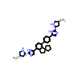 C[C@@H]1CN[C@H](c2ncc(-c3ccc(-c4ccc(-c5cnc([C@@H]6C[C@H](C)CN6)[nH]5)c5c4C4(CCCC4)CC5)cc3)[nH]2)C1